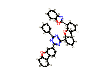 c1ccc(-c2nc(-c3ccc4c(c3)oc3ccccc34)nc(-c3cccc4c3oc3c(-c5nc6ccccc6o5)cccc34)n2)cc1